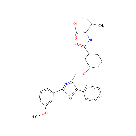 COc1cccc(-c2nc(COC3CCCC(C(=O)N[C@H](C(=O)O)C(C)C)C3)c(-c3ccccc3)o2)c1